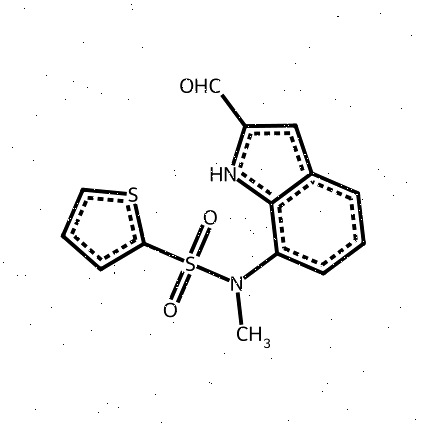 CN(c1cccc2cc(C=O)[nH]c12)S(=O)(=O)c1cccs1